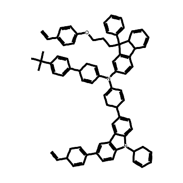 C=Cc1ccc(OCCCC2(c3ccccc3)c3cc(N(C4=CCC(c5ccc(C(C)(C)C)cc5)C=C4)C4=CCC(c5ccc6c(c5)c5cc(C7=CCC(C=C)C=C7)ccc5n6C5C=CC=CC5)C=C4)ccc3C3C=CC=CC32)cc1